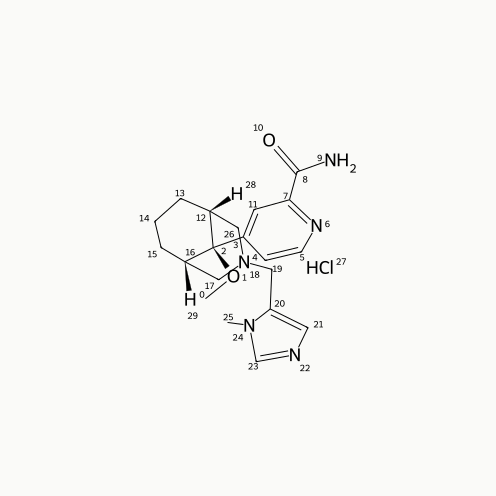 CO[C@]1(c2ccnc(C(N)=O)c2)[C@@H]2CCC[C@H]1CN(Cc1cncn1C)C2.Cl